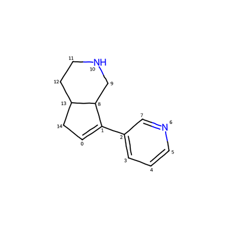 C1=C(c2cccnc2)C2CNCCC2C1